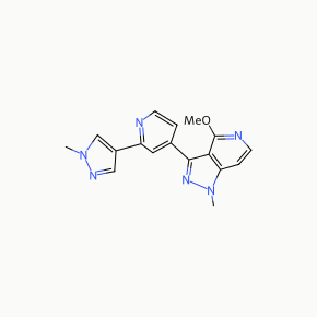 COc1nccc2c1c(-c1ccnc(-c3cnn(C)c3)c1)nn2C